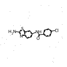 Nc1nc2ccc(NC(=O)c3ccc(Cl)cc3)cc2s1